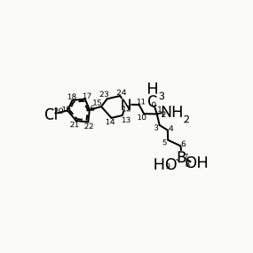 CC(N)(CCCCB(O)O)CCN1CCC(c2ccc(Cl)cc2)CC1